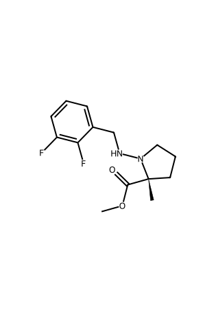 COC(=O)[C@@]1(C)CCCN1NCc1cccc(F)c1F